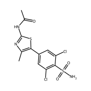 CC(=O)Nc1nc(C)c(-c2cc(Cl)c(S(N)(=O)=O)c(Cl)c2)s1